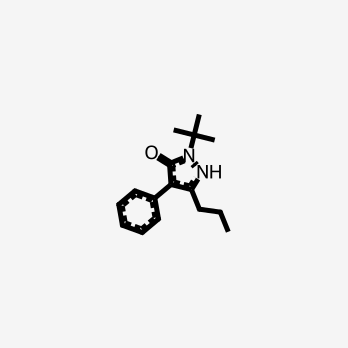 CCCc1[nH]n(C(C)(C)C)c(=O)c1-c1ccccc1